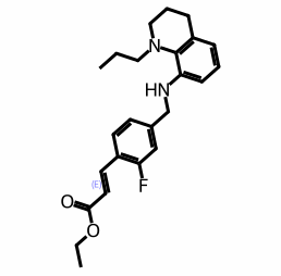 CCCN1CCCc2cccc(NCc3ccc(/C=C/C(=O)OCC)c(F)c3)c21